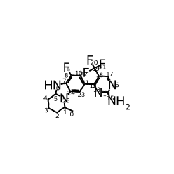 CC1CCCC2Nc3c(F)cc(-c4nc(N)ncc4C(F)(F)F)cc3N12